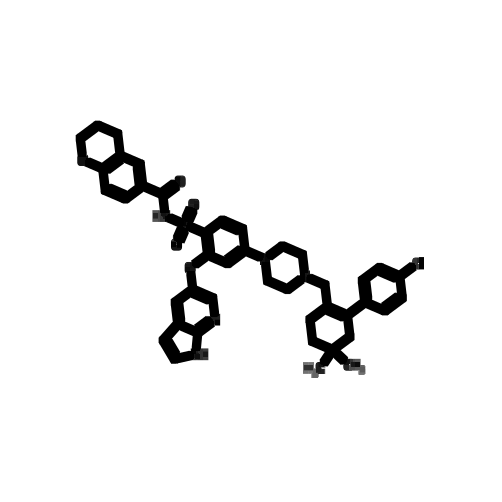 CC1(C)CCC(CN2CCN(c3ccc(S(=O)(=O)NC(=O)c4ccc5c(c4)CCCO5)c(Oc4cnc5[nH]ccc5c4)c3)CC2)=C(c2ccc(Cl)cc2)C1